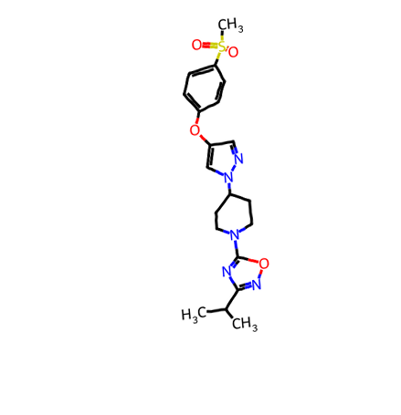 CC(C)c1noc(N2CCC(n3cc(Oc4ccc(S(C)(=O)=O)cc4)cn3)CC2)n1